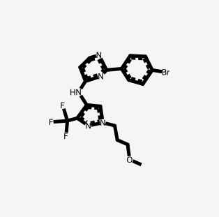 COCCCn1cc(Nc2ccnc(-c3ccc(Br)cc3)n2)c(C(F)(F)F)n1